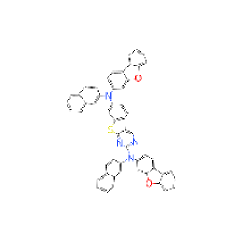 c1ccc2cc(N(c3ccc4c(c3)oc3ccccc34)c3ccc4c(c3)sc3nc(N(c5ccc6ccccc6c5)c5ccc6c(c5)oc5ccccc56)ncc34)ccc2c1